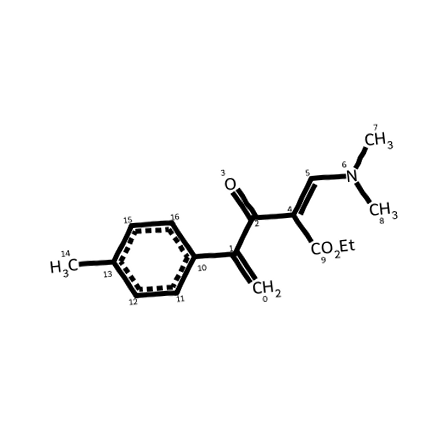 C=C(C(=O)/C(=C/N(C)C)C(=O)OCC)c1ccc(C)cc1